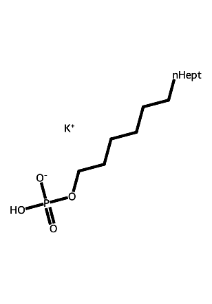 CCCCCCCCCCCCCOP(=O)([O-])O.[K+]